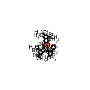 CCC(C)(C)c1cc(C(C)(C)CC)c2cc(OP(Oc3ccccc3-c3ccc(C)cc3)Oc3cc4c(C(C)(C)CC)cc(C(C)(C)CC)cc4cc3C(C)(C)CC)c(C(C)(C)CC)cc2c1